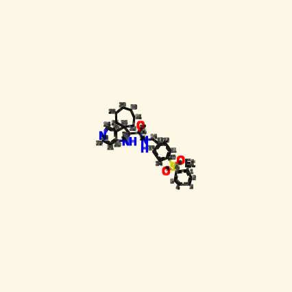 CCc1ccccc1S(=O)(=O)c1ccc(CNC(=O)C2Nc3ccncc3C23CCCCCC3)cc1